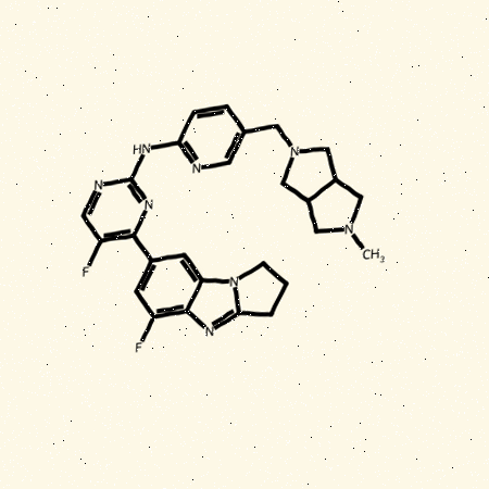 CN1CC2CN(Cc3ccc(Nc4ncc(F)c(-c5cc(F)c6nc7n(c6c5)CCC7)n4)nc3)CC2C1